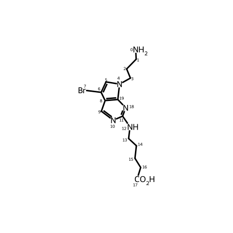 NCCCn1cc(Br)c2cnc(NCCCCC(=O)O)nc21